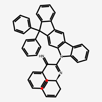 N=C(/C(=N\[C@@H]1C=CC=CC1)n1c2ccccc2c2cc3c(cc21)C(c1ccccc1)(c1ccccc1)c1ccccc1-3)c1ccccc1